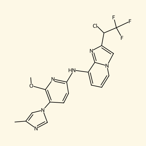 COc1nc(Nc2cccn3cc(C(Cl)C(F)(F)F)nc23)ccc1-n1cnc(C)c1